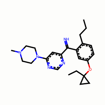 CCCc1ccc(OC2(CC)CC2)cc1C(=N)c1cc(N2CCN(C)CC2)ncn1